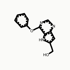 OCc1cc2ncnc(Oc3ccccc3)c2[nH]1